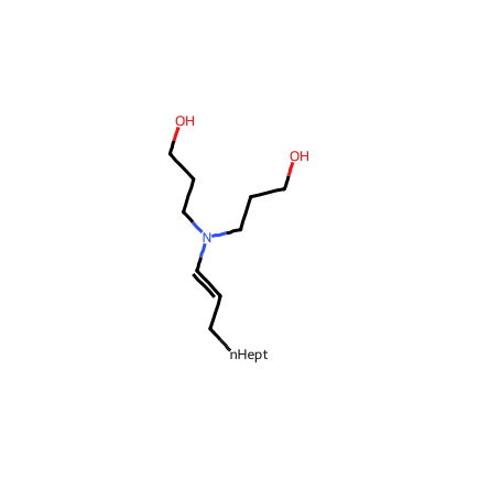 CCCCCCCCC=CN(CCCO)CCCO